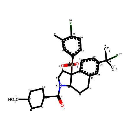 Cc1cc(S(=O)(=O)C23CCN(C(=O)C4CCC(C(=O)O)CC4)C2CCc2cc(C(F)(C(F)(F)F)C(F)(F)F)ccc23)ccc1F